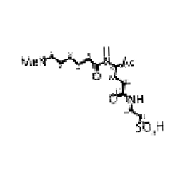 CNCCCCCC(=O)NC(CCC(=O)NCCS(=O)(=O)O)C(C)=O